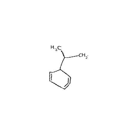 [CH2]C(C)C1C=CC=C1